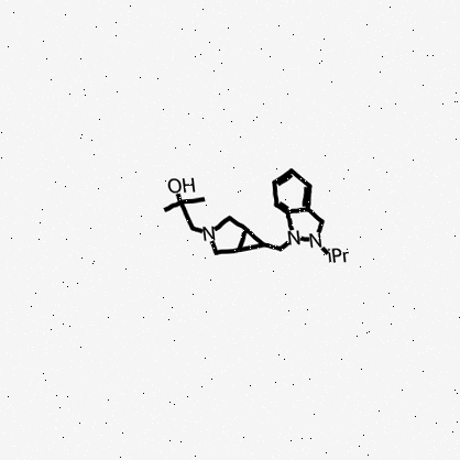 CC(C)N1Cc2ccccc2N1CC1C2CN(CC(C)(C)O)CC21